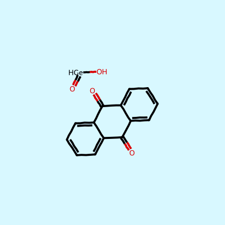 O=C1c2ccccc2C(=O)c2ccccc21.[O]=[GeH][OH]